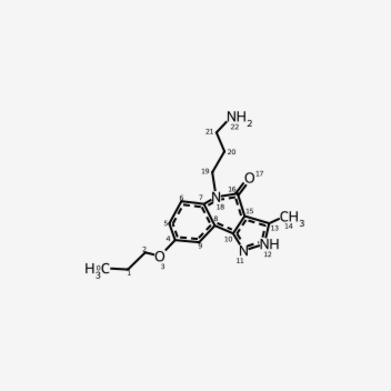 CCCOc1ccc2c(c1)c1n[nH]c(C)c1c(=O)n2CCCN